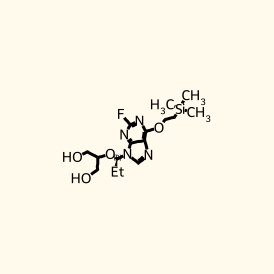 CC[C@@H](OC(CO)CO)n1cnc2c(OCC[Si](C)(C)C)nc(F)nc21